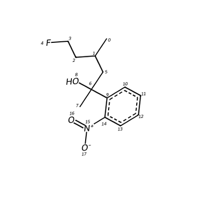 CC(CCF)CC(C)(O)c1ccccc1[N+](=O)[O-]